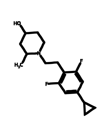 CC1CC(O)CCN1CCc1c(F)cc(C2CC2)cc1F